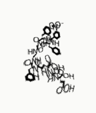 O=C(O)CC[C@H](NC(=O)N[C@@H](CCC(=O)N[C@@H](Cc1ccccc1)C(=O)NCCNC(=O)CNC(=O)[C@H](Cc1ccccc1)NC(=O)[C@H](Cc1ccccc1)NC(=O)c1cccc([N+](=O)[O-])c1)C(=O)O)C(=O)O